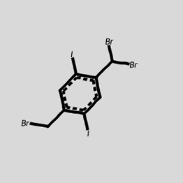 BrCc1cc(I)c(C(Br)Br)cc1I